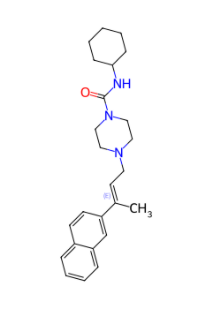 C/C(=C\CN1CCN(C(=O)NC2CCCCC2)CC1)c1ccc2ccccc2c1